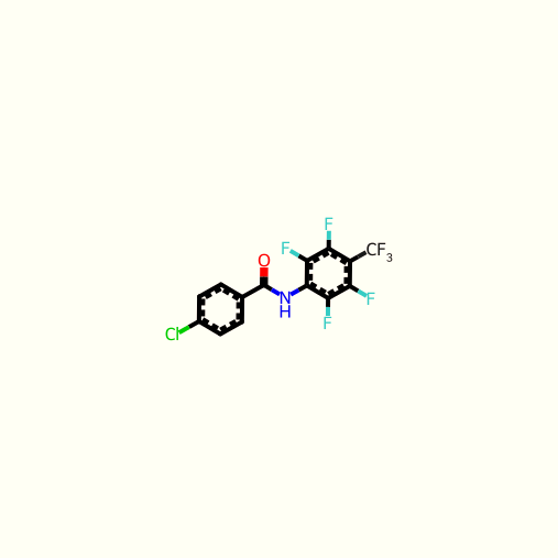 O=C(Nc1c(F)c(F)c(C(F)(F)F)c(F)c1F)c1ccc(Cl)cc1